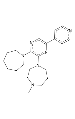 CN1CCCN(c2nc(-c3ccncc3)cnc2N2CCCCCC2)CC1